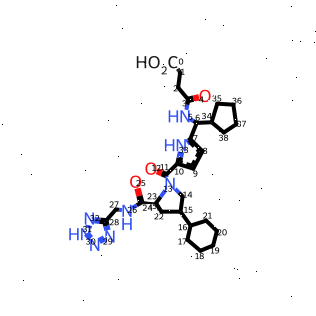 O=C(O)CCC(=O)NC(c1ccc(C(=O)N2CC(C3CCCCC3)C[C@H]2C(=O)NCc2nn[nH]n2)[nH]1)C1CCCC1